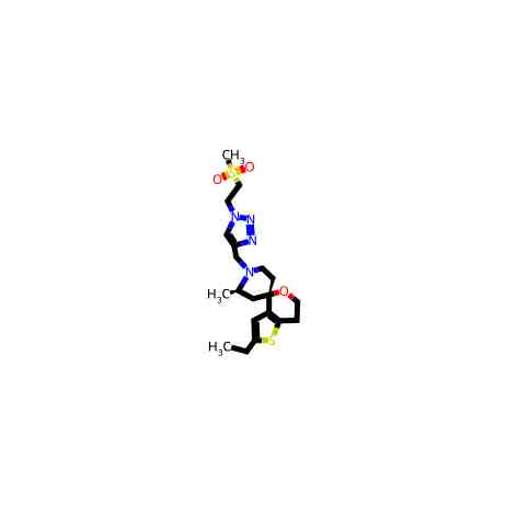 CCc1cc2c(s1)CCO[C@]21CCN(Cc2cn(CCS(C)(=O)=O)nn2)[C@H](C)C1